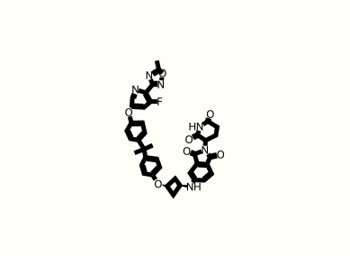 Cc1nc(-c2ncc(Oc3ccc(C(C)(C)c4ccc(O[C@H]5C[C@H](Nc6ccc7c(c6)C(=O)N(C6CCC(=O)NC6=O)C7=O)C5)cc4)cc3)cc2F)no1